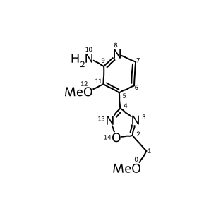 COCc1nc(-c2ccnc(N)c2OC)no1